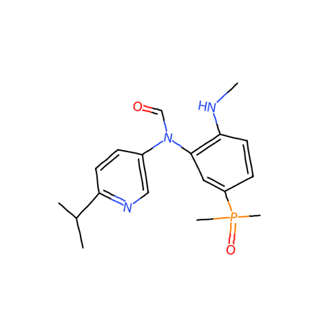 CNc1ccc(P(C)(C)=O)cc1N(C=O)c1ccc(C(C)C)nc1